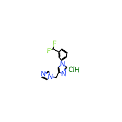 Cl.FC(F)c1cccc(-n2cnc(Cn3ccnc3)c2)c1